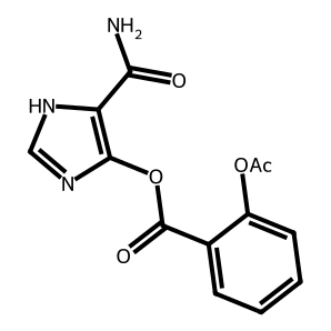 CC(=O)Oc1ccccc1C(=O)Oc1nc[nH]c1C(N)=O